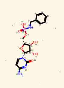 Nc1ccn([C@@H]2O[C@H](COP(=O)(O)NCc3ccccc3)[C@@H](O)[C@@H]2O)c(=O)n1